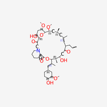 C=CCC1/C=C(\C)C[C@H](C)C[C@H](OC)C2O[C@@](O)(C(=O)CN3CCCC[C@H]3C(=O)OC(/C(C)=C/[C@@H]3CC[C@@H](O)[C@H](OC)C3)[C@H](C)C(O)CC1=O)[C@H](C)C[C@@H]2OC